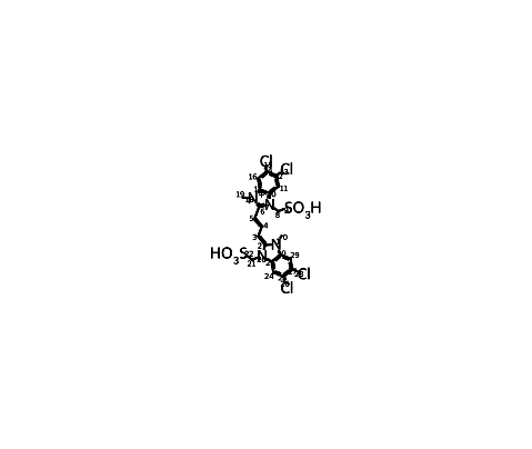 CN1/C(=C\C=C\c2n(CS(=O)(=O)O)c3cc(Cl)c(Cl)cc3[n+]2C)N(CS(=O)(=O)O)c2cc(Cl)c(Cl)cc21